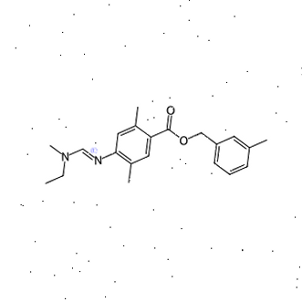 CCN(C)/C=N/c1cc(C)c(C(=O)OCc2cccc(C)c2)cc1C